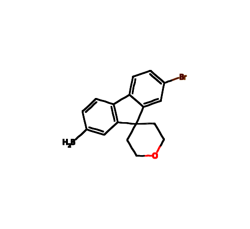 Bc1ccc2c(c1)C1(CCOCC1)c1cc(Br)ccc1-2